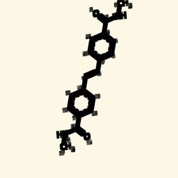 CNC(=O)c1ccc(/C=C/c2ccc(C(=O)NC)cc2)cc1